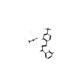 CC(C)(COc1cc(C(F)(F)F)ccc1-c1cc(=O)c2cccc(Cl)c2o1)C(=O)O